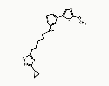 COc1ncc(-c2cccc(NCCCCCc3nc(C4CC4)no3)c2)o1